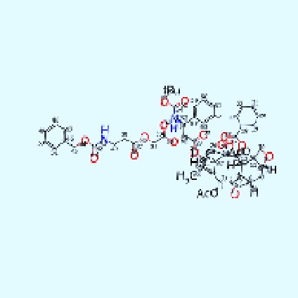 CC(=O)O[C@H]1C(=O)[C@]23C[C@H]2C[C@H]2OC[C@@]2(OC(C)=O)[C@H]3[C@H](OC(=O)c2ccccc2)[C@]2(O)CC(OC(=O)[C@H](OC(=O)COC(=O)CCNC(=O)OCc3ccccc3)[C@@H](NC(=O)OC(C)(C)C)c3ccccc3)C(C)=C1C2(C)C